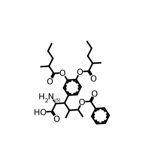 CCCC(C)C(=O)Oc1ccc(C(C(C)C(C)OC(=O)c2ccccc2)[C@H](N)C(=O)O)cc1OC(=O)C(C)CCC